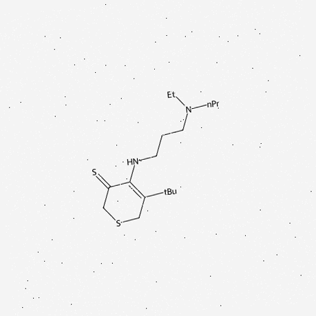 CCCN(CC)CCCNC1=C(C(C)(C)C)CSCC1=S